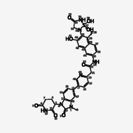 Cn1c(=O)n(C2CCC(=O)NC2=O)c2ccc(-c3ccc(CC(=O)Nc4ccc5c(F)c(N6CC(=O)NS6(O)O)c(O)cc5c4)nc3)cc21